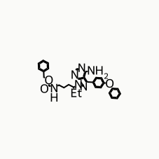 CCC(CCCNC(=O)OCc1ccccc1)n1nc(-c2ccc(Oc3ccccc3)cc2)c2c(N)ncnc21